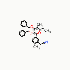 CC[C@H]1OC(c2ccc(C)c(CC#N)c2)[C@H](OCc2ccccc2)[C@@H](OCc2ccccc2)[C@@H]1C